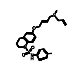 C=CCN(C)CC=CCOc1ccc2c(c1)CCCN2S(=O)(=O)Nc1ccc(C)cc1